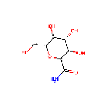 NC(=O)C1O[C@H](CO)[C@H](O)[C@H](O)[C@H]1O